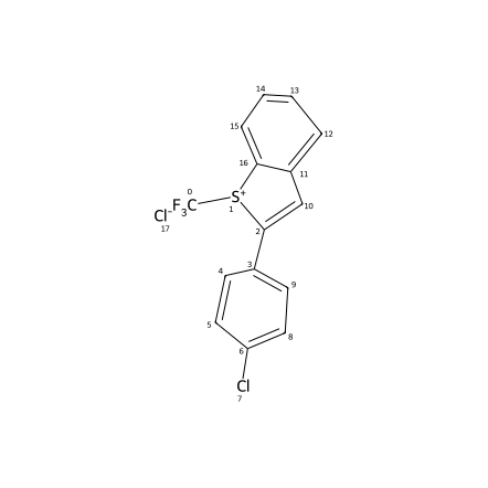 FC(F)(F)[s+]1c(-c2ccc(Cl)cc2)cc2ccccc21.[Cl-]